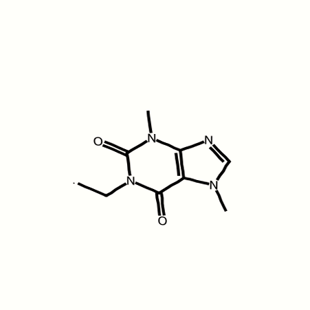 [CH2]Cn1c(=O)c2c(ncn2C)n(C)c1=O